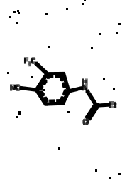 CCC(=O)Nc1ccc(C#N)c(C(F)(F)F)c1